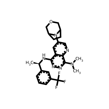 C[C@@H](Nc1nnc(N(C)C)c2ncc(N3C4CCC3COC4)cc12)c1cccc(C(F)(F)F)c1